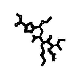 CCC=CCN(C(=O)[C@@H](N=[N+]=[N-])C(C)CC)[C@H](C[C@@H](OCC)c1nc(C(=O)OC)cs1)C(C)C